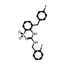 O=S1(=O)N=C(NCc2ccccc2F)Nc2c(Cc3ccc(F)cc3)cccc21